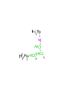 Cl.Cl.Cl.I.[PoH2].[PoH2]